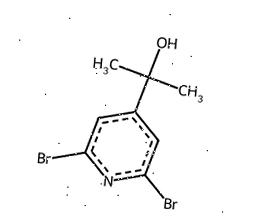 CC(C)(O)c1cc(Br)nc(Br)c1